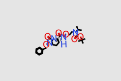 CC(C)N(CCONC(=O)[C@@H]1CCC2CN1C(=O)N2OCc1ccccc1)C(=O)OC(C)(C)C